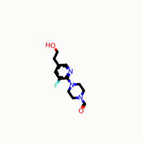 O=CN1CCN(c2ncc(CCO)cc2F)CC1